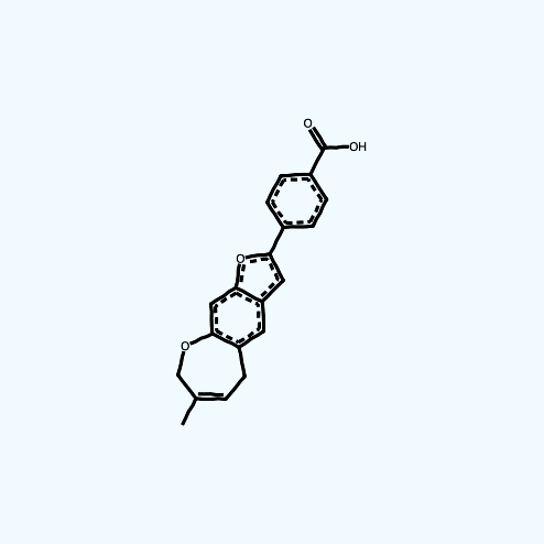 CC1=CCc2cc3cc(-c4ccc(C(=O)O)cc4)oc3cc2OC1